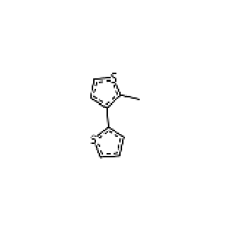 Cc1sccc1-c1cccs1